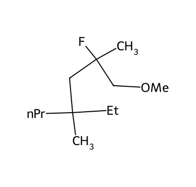 CCCC(C)(CC)CC(C)(F)COC